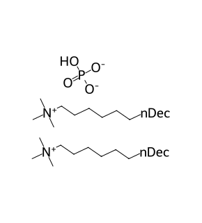 CCCCCCCCCCCCCCCC[N+](C)(C)C.CCCCCCCCCCCCCCCC[N+](C)(C)C.O=P([O-])([O-])O